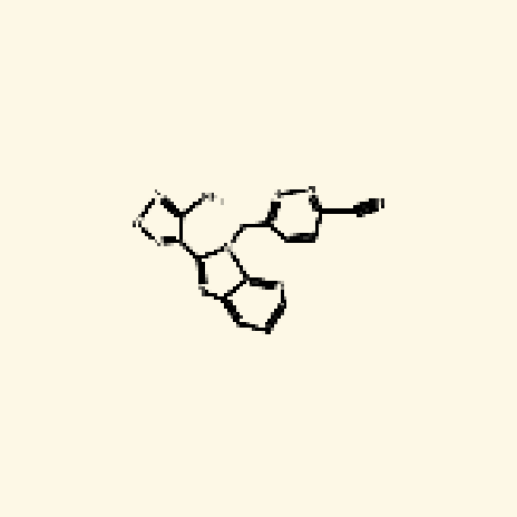 N#Cc1ccc(Cn2c(-c3nonc3N)nc3cccnc32)nn1